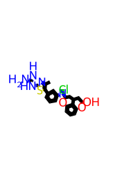 Cc1nc(NC(=N)N)sc1-c1cccc(N(Cl)C(=O)CC(CC(=O)O)c2ccccc2)c1